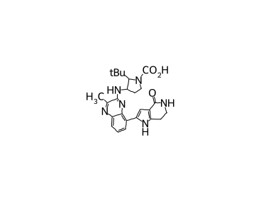 Cc1nc2cccc(-c3cc4c([nH]3)CCNC4=O)c2nc1NC1CCN(C(=O)O)C1C(C)(C)C